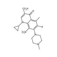 Cc1c(F)c(N2CCN(C)CC2)c([N+](=O)[O-])c2c1c(=O)c(C(=O)O)cn2C1CC1